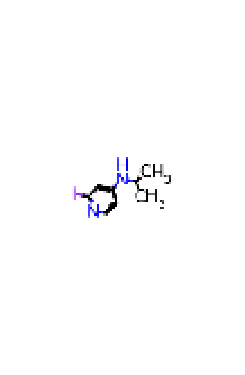 CC(C)Nc1ccnc(I)c1